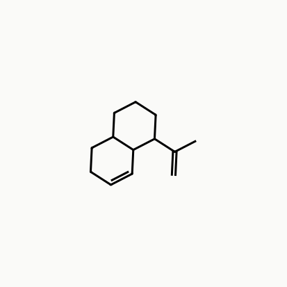 C=C(C)C1CCCC2CCC=CC21